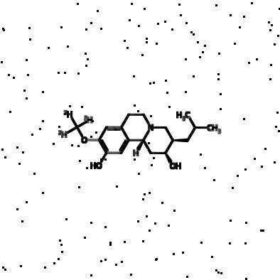 [2H]C([2H])([2H])Oc1cc2c(cc1O)[C@H]1C[C@H](O)[C@H](CC(C)C)CN1CC2